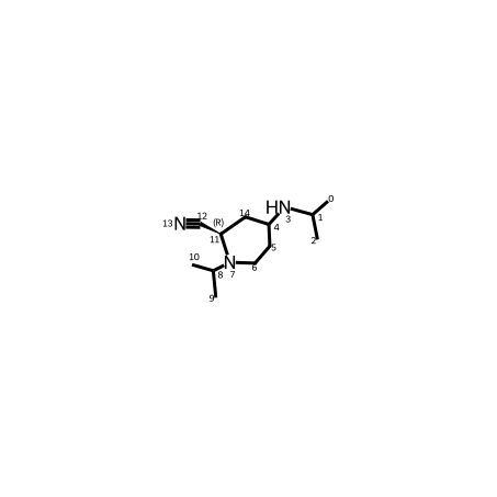 CC(C)NC1CCN(C(C)C)[C@@H](C#N)C1